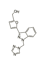 OCc1ccc(-c2nn(Cn3cncn3)c3ccccc23)o1